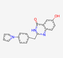 O=c1[nH]c(Cc2ccc(-n3cccc3)cc2)nc2ccc(O)cc12